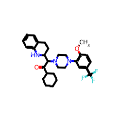 COc1ccc(C(F)(F)F)cc1N1CCN(C(C(=O)C2CCCCC2)C2CCc3ccccc3N2)CC1